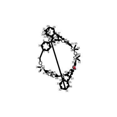 C[Si]1(C)OCc2ccc(cc2)-n2c3ccc4cc3c3cc(ccc32)[Si](C)(C)O[Si](C)(C)c2ccc3c(c2)c2cc(ccc2n3-c2ccc1cc2)[Si](C)(C)O[Si]4(C)C